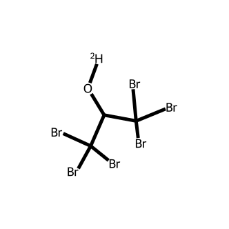 [2H]OC(C(Br)(Br)Br)C(Br)(Br)Br